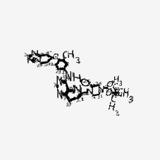 Cc1cc(Nc2ncnc3ccc(N4CCN(C(=O)OC(C)(C)C)CC4=O)nc23)ccc1Oc1ccn2ncnc2c1